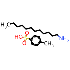 CCCCCCCCCCCCN.Cc1ccc(S(=O)(=O)O)cc1